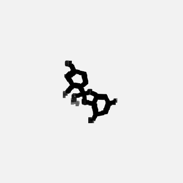 CC1(c2ccc(Cl)cc2F)Oc2cc(F)cc(Br)c2O1